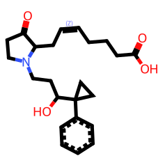 O=C(O)CCC/C=C\CC1C(=O)CCN1CCC(O)C1(c2ccccc2)CC1